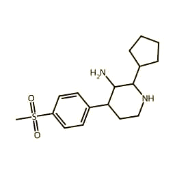 CS(=O)(=O)c1ccc(C2CCNC(C3CCCC3)C2N)cc1